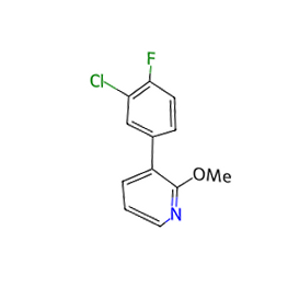 COc1ncccc1-c1ccc(F)c(Cl)c1